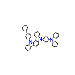 c1ccc(-c2ccc(-n3c4ccccc4c4ccc5c(c6ccccc6n5-c5ccc(-n6c7ccccc7c7ccccc76)cc5)c43)cc2)cc1